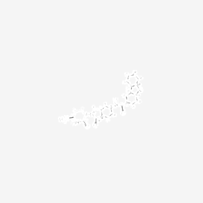 C=C1CCC(N2Cc3cc(NC(=O)c4ccc5oc6ccccc6c5c4)ccc3C2=O)C(=O)N1